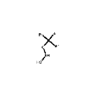 CC(C)C(Br)(OBO)C(C)C